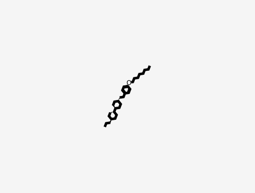 CCCCCCCCOc1ccc(CC[C@H]2CC[C@H]([C@H]3CC[C@H](CCC)CC3)CC2)cc1